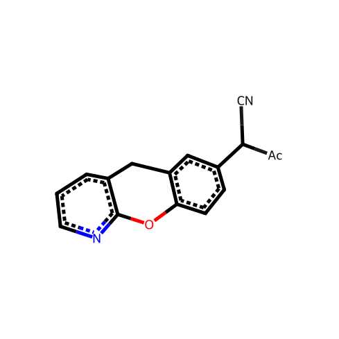 CC(=O)C(C#N)c1ccc2c(c1)Cc1cccnc1O2